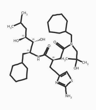 CC(C)C[C@H](O)[C@H](O)[C@H](CC1CCCCC1)NC(=O)[C@@H](CC(=O)N(CC1CCCCCC1)CC(C)(C)O)Cc1csc(N)n1